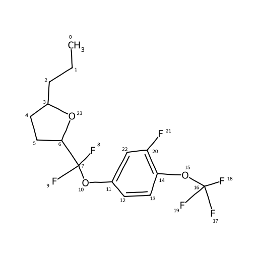 CCCC1CCC(C(F)(F)Oc2ccc(OC(F)(F)F)c(F)c2)O1